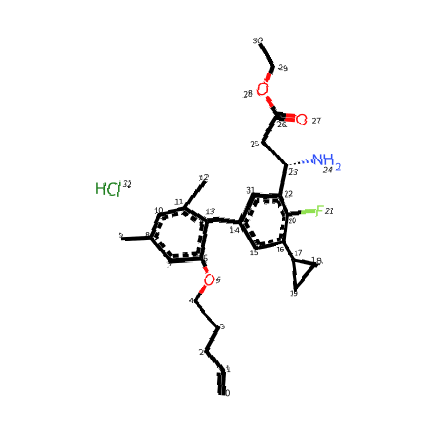 C=CCCCOc1cc(C)cc(C)c1-c1cc(C2CC2)c(F)c([C@@H](N)CC(=O)OCC)c1.Cl